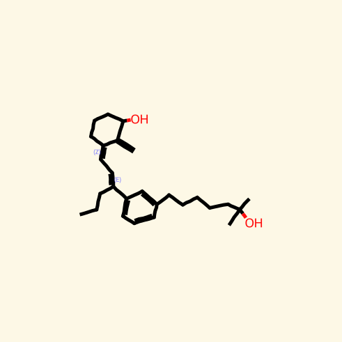 C=C1/C(=C\C=C(/CCC)c2cccc(CCCCCC(C)(C)O)c2)CCCC1O